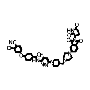 N#Cc1ccc(OC2CCC(C(=O)Nc3nnc(N4CCC(CN5CCN(c6ccc7c(c6)C(=O)N(C6CCC(=O)NC6=O)C7=O)CC5)CC4)cc3F)CC2)cc1Cl